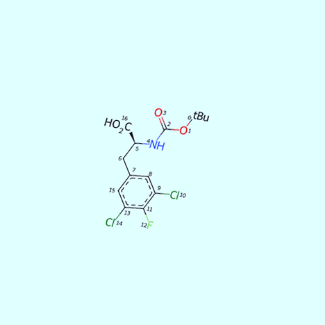 CC(C)(C)OC(=O)N[C@@H](Cc1cc(Cl)c(F)c(Cl)c1)C(=O)O